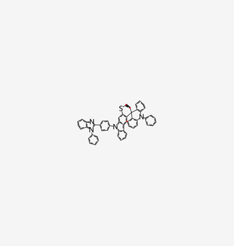 c1ccc(N2c3ccccc3C3(c4ccccc4Sc4cc5c(cc43)c3ccccc3n5-c3ccc(-c4nc5ccccc5n4-c4ccccc4)cc3)c3ccccc32)cc1